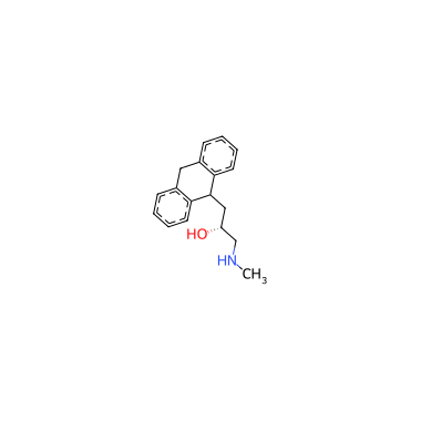 CNC[C@H](O)CC1c2ccccc2Cc2ccccc21